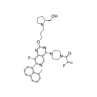 C=C(F)C(=O)N1CCN(c2nc(OCCCN3CCC[C@H]3CO)nc3c(F)c(-c4cccc5cccc(C)c45)ncc23)CC1